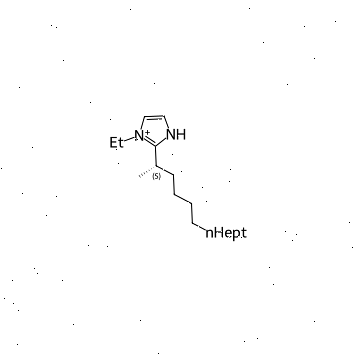 CCCCCCCCCCC[C@H](C)c1[nH]cc[n+]1CC